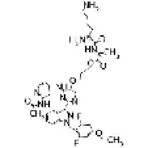 CCOc1cc(F)c(Cn2nc(-c3ncc(OCCCOC(=O)[C@H](C)NC(=O)[C@H](N)CCCCN)c(Nc4ccnc(NC(C)=O)c4)n3)c3ccccc32)c(F)c1